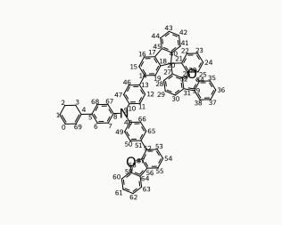 C1=CCCC(c2ccc(N(c3ccc(-c4ccc5c(c4)C(c4ccccc4)(c4cccc6c4oc4ccccc46)c4ccccc4-5)cc3)c3ccc(-c4cccc5c4oc4ccccc45)cc3)cc2)=C1